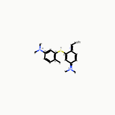 CCC/C=C1\C=CC(=[N+](C)C)C=C1Sc1cc(N(C)C)ccc1C